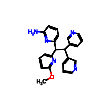 COc1cccc(C(c2cccc(N)n2)C(c2cccnc2)c2cccnc2)n1